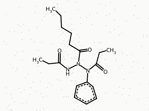 CCCCCC(=O)N(NC(=O)CC)N(C(=O)CC)c1ccccc1